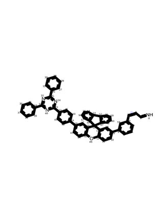 N=C/C=C\c1cccc(-c2ccc3c(c2)C2(c4cc(-c5ccc(-c6nc(-c7ccccc7)nc(-c7ccccc7)n6)cc5)ccc4O3)c3ccccc3-c3ccccc32)c1